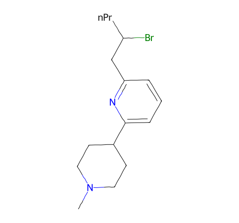 CCCC(Br)Cc1cccc(C2CCN(C)CC2)n1